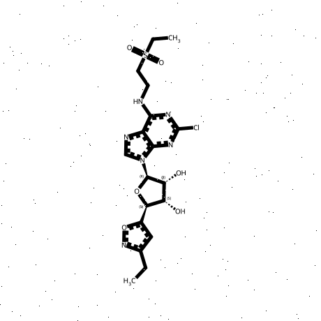 CCc1cc([C@H]2O[C@@H](n3cnc4c(NCCS(=O)(=O)CC)nc(Cl)nc43)[C@H](O)[C@@H]2O)on1